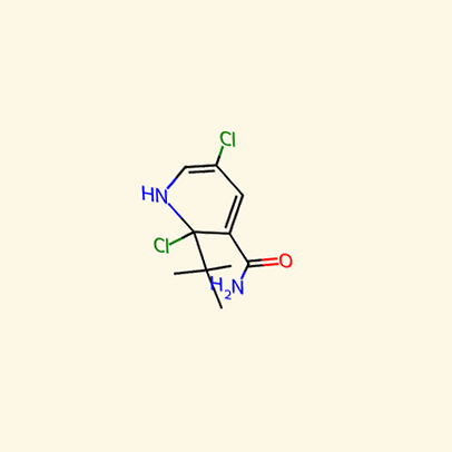 CC(C)(C)C1(Cl)NC=C(Cl)C=C1C(N)=O